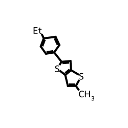 CCc1ccc(-c2cc3sc(C)cc3s2)cc1